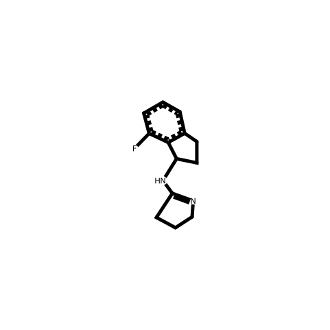 Fc1cccc2c1C(NC1=NCCC1)CC2